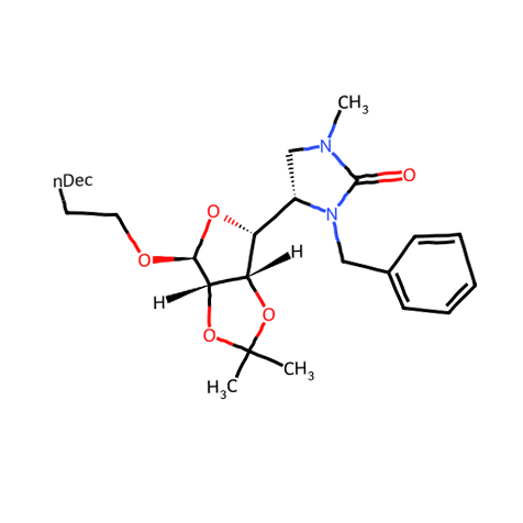 CCCCCCCCCCCCO[C@H]1O[C@H]([C@@H]2CN(C)C(=O)N2Cc2ccccc2)[C@@H]2OC(C)(C)O[C@H]12